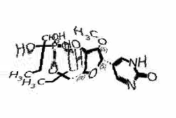 CCC(C)(C[C@H]1O[C@@H](c2cnc(=O)[nH]c2)[C@@H](OC)C1O)OP(=O)(O)C(C)(O)CC